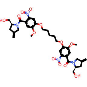 C=C1C[C@@H](CO)N(C(=O)c2cc(OC)c(OCCCCCOc3cc([N+](=O)[O-])c(C(=O)N4CC(=C)C[C@H]4CO)cc3OC)cc2[N+](=O)[O-])C1